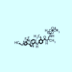 C#CCn1cc(-c2cnc3c(Nc4ccc(C(=O)N[C@H](C)CNC(=O)OC(C)(C)C)c(CC)c4)nccn23)c(C(F)(F)F)n1